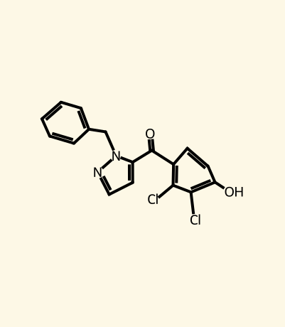 O=C(c1ccc(O)c(Cl)c1Cl)c1ccnn1Cc1ccccc1